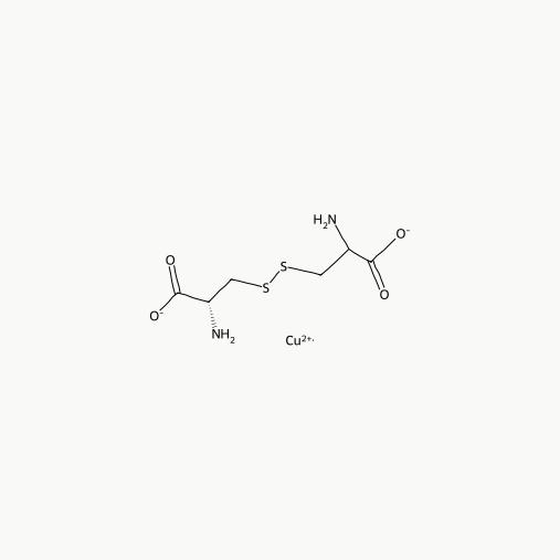 NC(CSSC[C@H](N)C(=O)[O-])C(=O)[O-].[Cu+2]